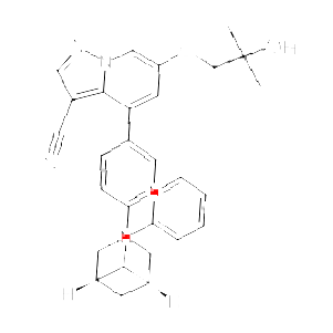 CC(C)(O)COc1cc(-c2ccc(N3C[C@H]4C[C@@H](C3)C4Nc3ccccn3)nc2)c2c(C#N)cnn2c1